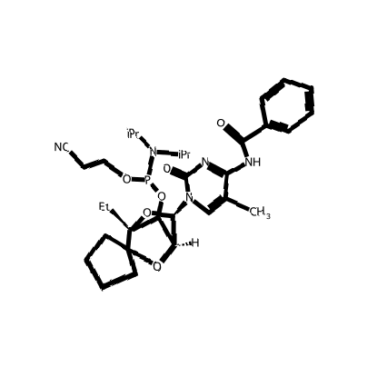 CC[C@]12O[C@@H](n3cc(C)c(NC(=O)c4ccccc4)nc3=O)[C@@H](OC13CCCC3)C2OP(OCCC#N)N(C(C)C)C(C)C